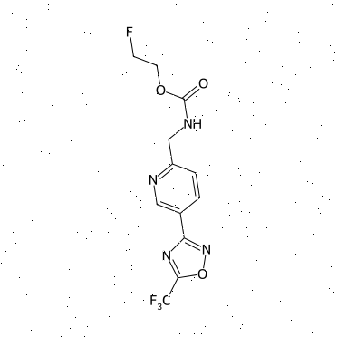 O=C(NCc1ccc(-c2noc(C(F)(F)F)n2)cn1)OCCF